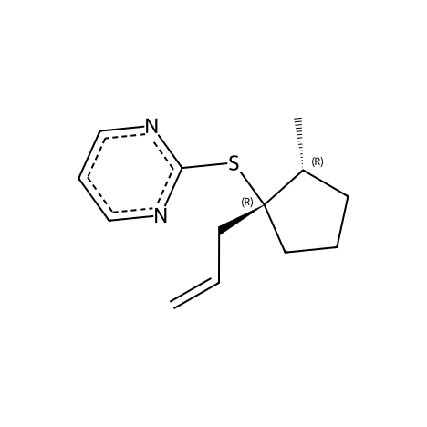 C=CC[C@]1(Sc2ncccn2)CCC[C@H]1C